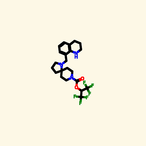 O=C(OC(C(F)(F)F)C(F)(F)F)N1CCC2(CCCN2Cc2cccc3c2NCCC3)CC1